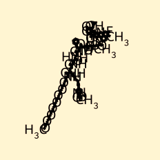 COCCOCCOCCOCCOCCOCCOCCOCCNC(=O)[C@H](CCC(=O)NCC(=O)NCC(=O)N[C@@H](Cc1ccccc1)C(=O)NCC(=O)NCO[C@H](C)C(=O)N[C@H]1CCc2c(C)c(F)cc3nc4c(c1c23)Cn1c-4cc2c(c1=O)COC(=O)[C@]2(O)CC1CC1)NCCCCC#Cc1cnc(S(C)(=O)=O)nc1